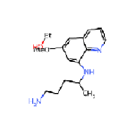 CCO.COc1cc(NC(C)CCCN)c2ncccc2c1